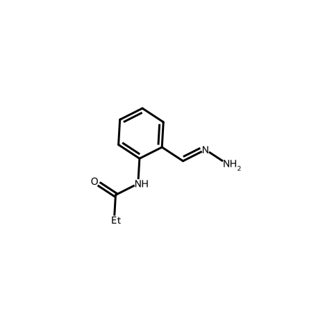 CCC(=O)Nc1ccccc1C=NN